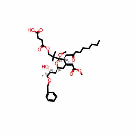 CCCCCCCC(=O)C[C@H]1/C(=C/C(=O)OC)C[C@@H](C[C@@H](O)[C@@H](C)OCc2ccccc2)O[C@@]1(OC)C(C)(C)COC(=O)CCC(=O)O